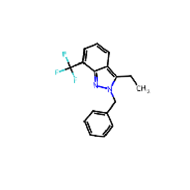 CCc1c2cccc(C(F)(F)F)c2nn1Cc1ccccc1